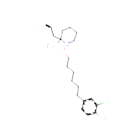 C=CCC1(C)CCCCN1OCCCCCCc1ccc(Cl)c(Cl)c1